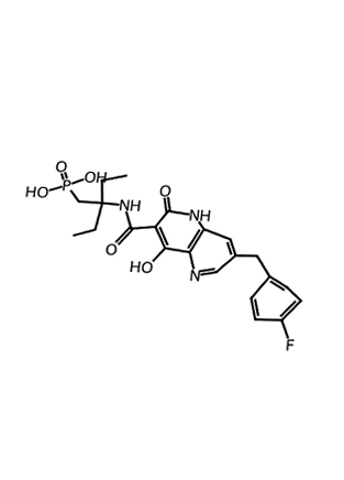 CCC(CC)(CP(=O)(O)O)NC(=O)c1c(O)c2ncc(Cc3ccc(F)cc3)cc2[nH]c1=O